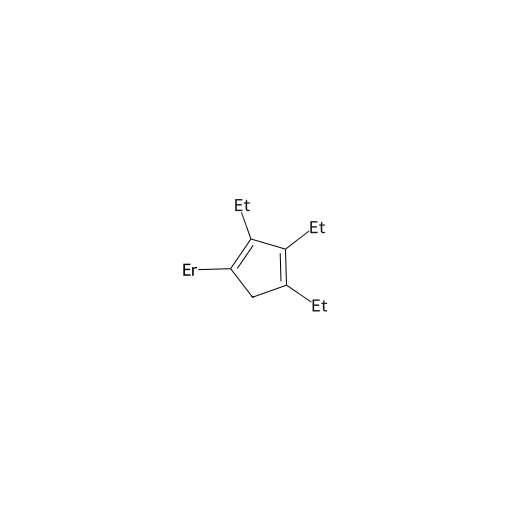 CCC1=C(CC)C(CC)=[C]([Er])C1